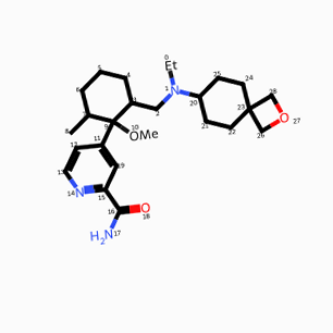 CCN(CC1CCCC(C)C1(OC)c1ccnc(C(N)=O)c1)C1CCC2(CC1)COC2